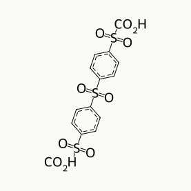 O=C(O)S(=O)(=O)c1ccc(S(=O)(=O)c2ccc(S(=O)(=O)C(=O)O)cc2)cc1